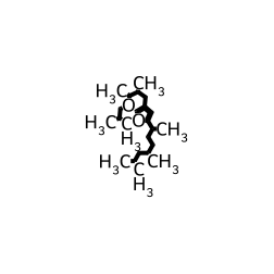 CC(C)COC(C)C(C)Cc1coc(C(C)CCC(C)CC(C)C)c1